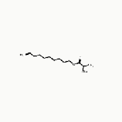 C=CCCCCCCCCOC(=O)C(C)CCCC